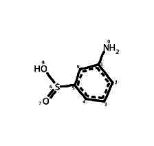 Nc1[c]ccc(S(=O)O)c1